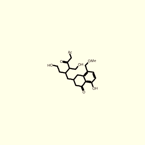 COCc1ccc(O)c2c1CC(CC(CCO)C(CO)C(=O)CC(C)=O)CC2=O